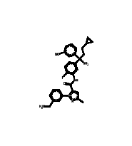 Cc1cc(C(=O)Nc2cc(C(N)(CCC3CC3)c3cccc(C#N)c3)ccc2F)n(-c2cccc(CN)c2)n1